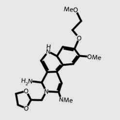 CNC1=CC2=C3C=C(OC)C(OCCOC)=CC3NC=C2C(N)N1CC1OCCO1